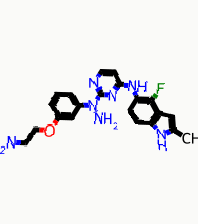 Cc1cc2c(F)c(Nc3ccnc(N(N)c4cccc(OCCN)c4)n3)ccc2[nH]1